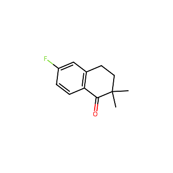 CC1(C)CCc2cc(F)ccc2C1=O